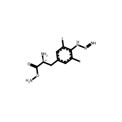 N=NNc1c(I)cc(C[C@H](N)C(=O)ON)cc1I